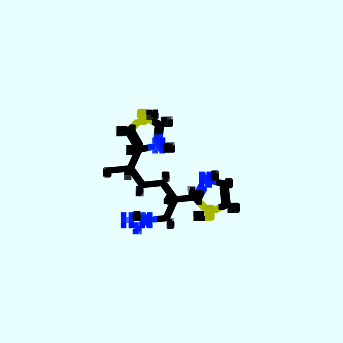 CC(CCC(CN)c1nccs1)c1cscn1